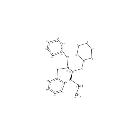 CNC[C@H](CC1CCCCC1)N(Cc1ccccc1)Cc1ccccc1